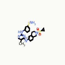 Cc1cnc(Nc2cccc(SN)c2)nc1Nc1ccc2c(c1)CCN(S(=O)(=O)C1CC1)C2